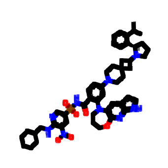 CC(C)c1ccccc1[C@H]1CCCN1C1CC2(CCN(c3ccc(C(=O)NS(=O)(=O)c4cnc(NCC5CCCCC5)c([N+](=O)[O-])c4)c(N4CCCOc5nc6[nH]ccc6cc54)c3)CC2)C1